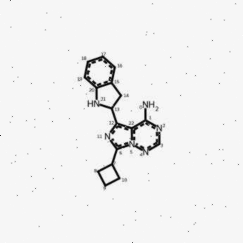 Nc1ncnn2c(C3CCC3)nc(C3Cc4ccccc4N3)c12